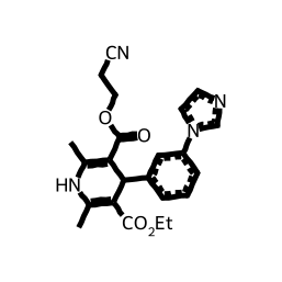 CCOC(=O)C1=C(C)NC(C)=C(C(=O)OCCC#N)C1c1cccc(-n2ccnc2)c1